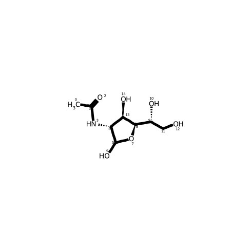 CC(=O)N[C@H]1C(O)O[C@H]([C@H](O)CO)[C@@H]1O